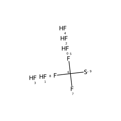 F.F.F.F.F.FC(F)(F)[S]